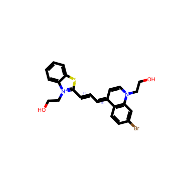 OCCN1C=C/C(=C\C=C\c2sc3ccccc3[n+]2CCO)c2ccc(Br)cc21